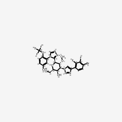 CO[C@@H]1[C@@H](n2cc(-c3ccc(Br)c(F)c3F)nn2)[C@@H](O)[C@@H](CO)O[C@H]1c1nncn1-c1cc(Cl)ccc1OC(F)(F)F